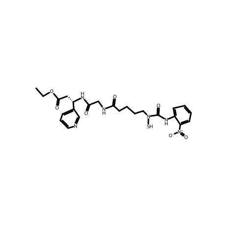 CCOC(=O)C[C@H](NC(=O)CNC(=O)CCCCN(S)C(=O)Nc1ccccc1[N+](=O)[O-])c1cccnc1